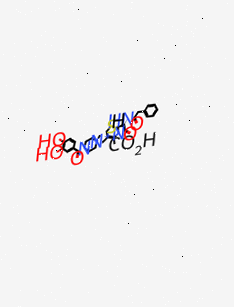 C[N+]1(CC2=C(C(=O)O)N3C(=O)[C@@H](NC(=O)Cc4ccccc4)[C@@H]3SC2)CCN(C(=O)c2ccc(O)c(O)c2)CC1